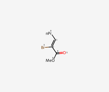 CCCC=C(Br)C(=O)OC